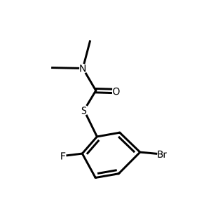 CN(C)C(=O)Sc1cc(Br)ccc1F